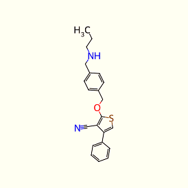 CCCNCc1ccc(COc2scc(-c3ccccc3)c2C#N)cc1